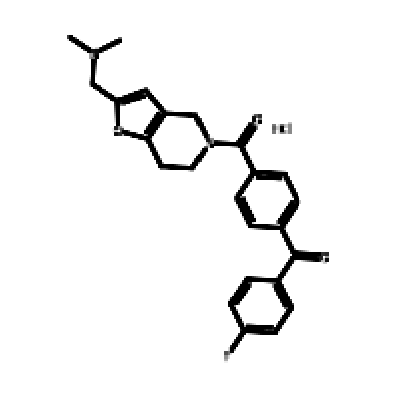 CN(C)Cc1cc2c(o1)CCN(C(=O)c1ccc(C(=O)c3ccc(F)cc3)cc1)C2.Cl